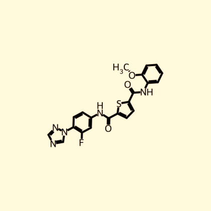 COc1ccccc1NC(=O)c1ccc(C(=O)Nc2ccc(-n3cncn3)c(F)c2)s1